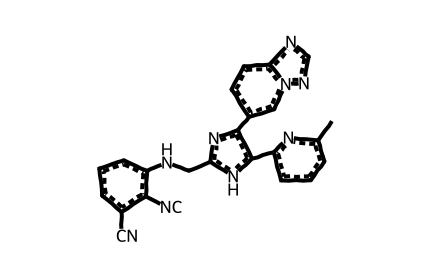 [C-]#[N+]c1c(C#N)cccc1NCc1nc(-c2ccc3ncnn3c2)c(-c2cccc(C)n2)[nH]1